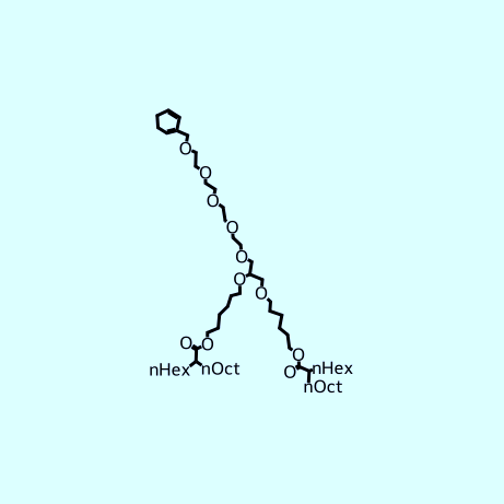 CCCCCCCCC(CCCCCC)C(=O)OCCCCCCOCC(COCCOCCOCCOCCOCC1=CCCC=C1)OCCCCCCOC(=O)C(CCCCCC)CCCCCCCC